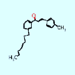 CCCCCCCCc1cccc(C(=O)C=Cc2ccc(C)cc2)c1